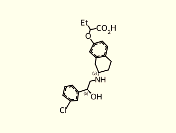 CCC(Oc1ccc2c(c1)C[C@@H](NC[C@@H](O)c1cccc(Cl)c1)CC2)C(=O)O